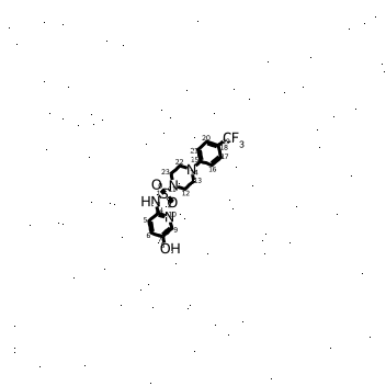 O=S(=O)(Nc1ccc(O)cn1)N1CCN(c2ccc(C(F)(F)F)cc2)CC1